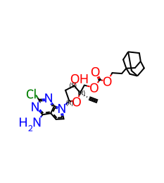 C#C[C@]1(COC(=O)OCCC23CC4CC(CC(C4)C2)C3)O[C@@H](n2ccc3c(N)nc(Cl)nc32)C[C@@H]1O